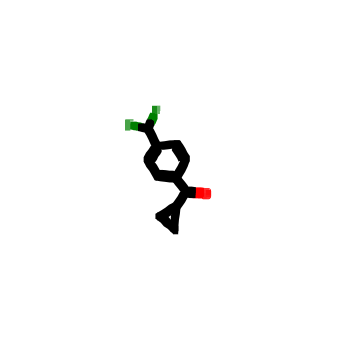 O=C(c1ccc(C(F)F)cc1)C1CC1